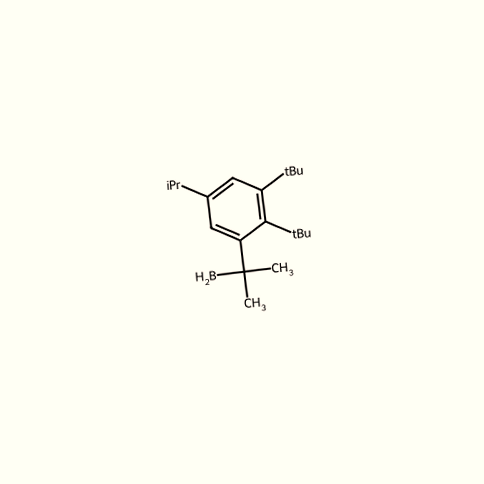 BC(C)(C)c1cc(C(C)C)cc(C(C)(C)C)c1C(C)(C)C